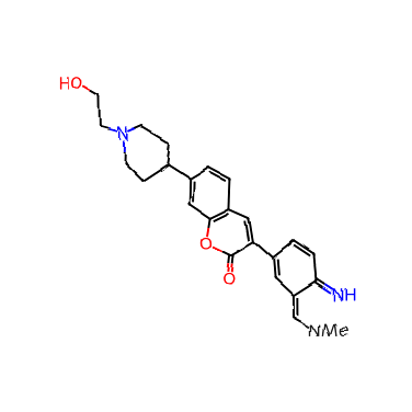 CN/C=C1/C=C(c2cc3ccc(C4CCN(CCO)CC4)cc3oc2=O)C=CC1=N